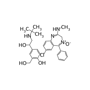 CC(C)(C)NCC(O)c1ccc(O)c(CO)c1.CNC1=Nc2ccc(Cl)cc2C(c2ccccc2)=[N+]([O-])C1